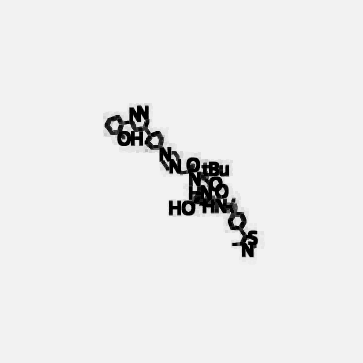 Cc1ncsc1-c1ccc([C@H](C)NC(=O)[C@@H]2C[C@@H](O)CN2C(=O)[C@@H](NC(=O)CN2CCN(c3ccc(-c4cnnc(-c5ccccc5O)c4)cc3)CC2)C(C)(C)C)cc1